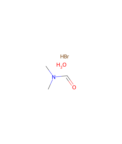 Br.CN(C)C=O.O